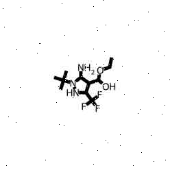 CCOC(O)C1C(N)N(C(C)(C)C)NC1C(F)(F)F